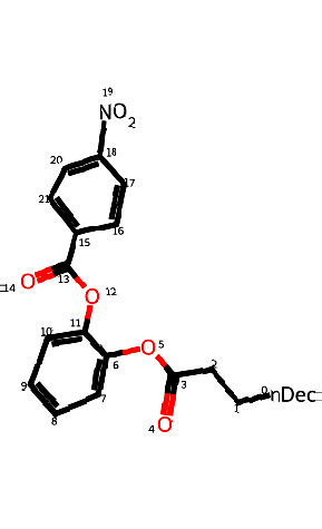 CCCCCCCCCCCCC(=O)Oc1ccccc1OC(=O)c1ccc([N+](=O)[O-])cc1